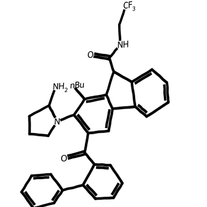 CCCCc1c2c(cc(C(=O)c3ccccc3-c3ccccc3)c1N1CCCC1N)-c1ccccc1C2C(=O)NCC(F)(F)F